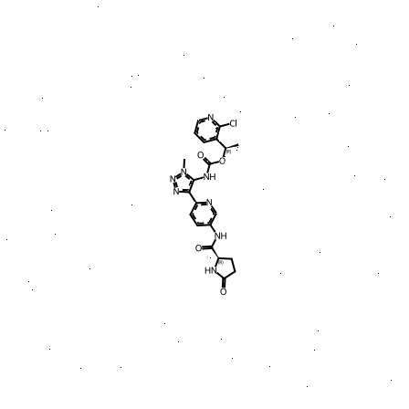 C[C@@H](OC(=O)Nc1c(-c2ccc(NC(=O)[C@H]3CCC(=O)N3)cn2)nnn1C)c1cccnc1Cl